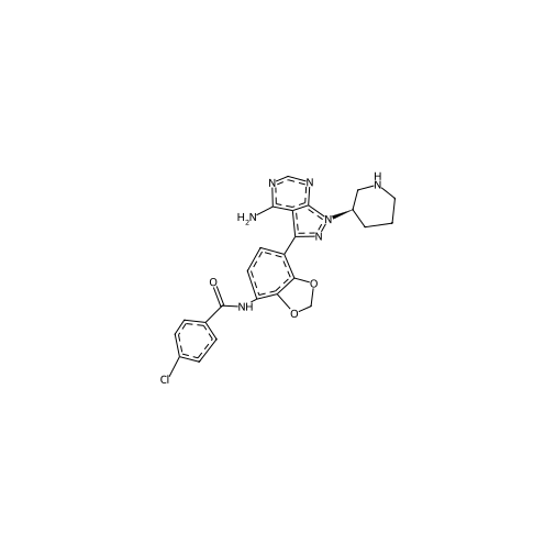 Nc1ncnc2c1c(-c1ccc(NC(=O)c3ccc(Cl)cc3)c3c1OCO3)nn2[C@@H]1CCCNC1